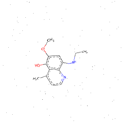 CCNc1cc(OC)c(O)c2c(C)ccnc12